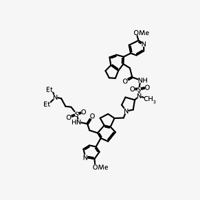 CCN(CC)CCCS(=O)(=O)NC(=O)Cc1c(-c2ccnc(OC)c2)ccc2c1CCC2CN1CCC(N(C)S(=O)(=O)NC(=O)Cc2c(-c3ccnc(OC)c3)ccc3c2CCC3)C1